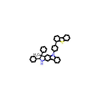 CC1(c2ccccc2)c2cc3c(cc2NC1c1ccccc1)c1ccccc1n3-c1ccc(-c2cccc3c2sc2ccccc23)cc1